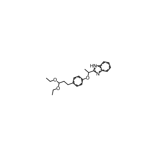 CCOC(CCc1ccc(OC(C)c2nc3ccccc3[nH]2)cc1)OCC